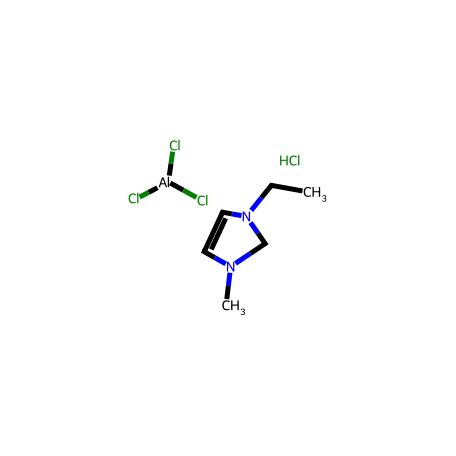 CCN1C=CN(C)C1.Cl.[Cl][Al]([Cl])[Cl]